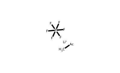 CC(C)=O.F[P-](F)(F)(F)(F)F.[Li+]